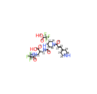 O=C(O)C(F)(F)F.O=C(O)[C@@H](CNC(=O)[C@@H]1CCCN(C(=O)/C=C/C2CCNCC2)C1)CNC(=O)C(F)(F)F